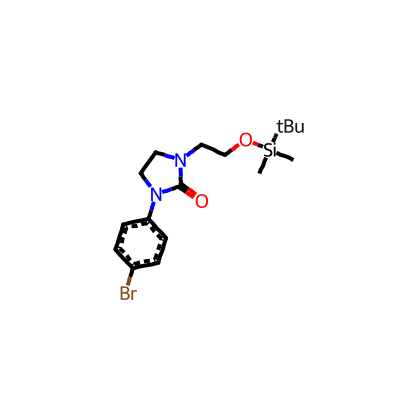 CC(C)(C)[Si](C)(C)OCCN1CCN(c2ccc(Br)cc2)C1=O